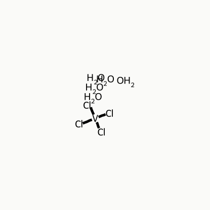 O.O.O.O.O.[Cl][V]([Cl])([Cl])[Cl]